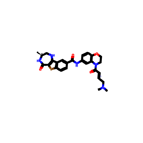 C[C@@H]1CNc2c(sc3ccc(C(=O)Nc4ccc5c(c4)N(C(=O)/C=C/CN(C)C)CCO5)cc23)C(=O)N1